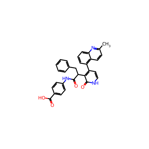 Cc1ccc2c(-c3cc[nH]c(=O)c3C(Cc3ccccc3)C(=O)Nc3ccc(C(=O)O)cc3)cccc2n1